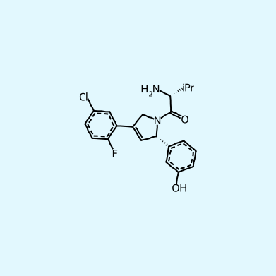 CC(C)[C@@H](N)C(=O)N1CC(c2cc(Cl)ccc2F)=C[C@H]1c1cccc(O)c1